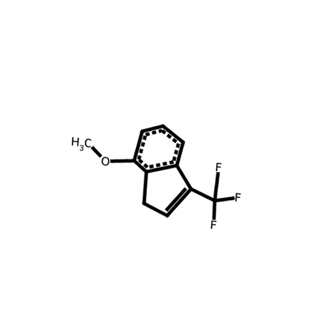 COc1cccc2c1CC=C2C(F)(F)F